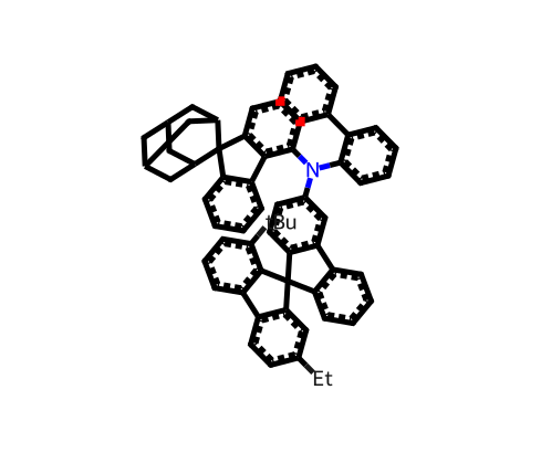 CCc1ccc2c(c1)C1(c3ccccc3-c3cc(N(c4ccccc4-c4ccccc4)c4cccc5c4-c4ccccc4C54C5CC6CC(C5)CC4C6)ccc31)c1c-2cccc1C(C)(C)C